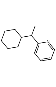 CC(c1ccccn1)C1CCCCC1